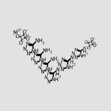 Nc1nnn[nH]1.Nc1nnn[nH]1.Nc1nnn[nH]1.Nc1nnn[nH]1.Nc1nnn[nH]1.Nc1nnn[nH]1.[Ni+2].[O-][Cl+3]([O-])([O-])[O-].[O-][Cl+3]([O-])([O-])[O-]